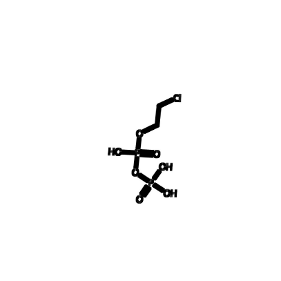 O=P(O)(O)OP(=O)(O)OCCCl